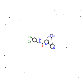 Cc1cnccc1-c1cc(Cn2ccnc2C)cc(C(=O)NCc2ccc(Cl)c(Cl)c2)n1